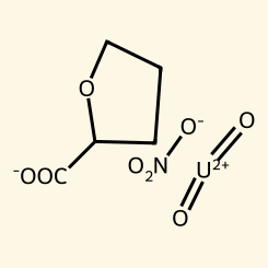 O=C([O-])C1CCCO1.O=[N+]([O-])[O-].[O]=[U+2]=[O]